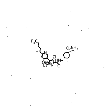 CCn1nc(C(=O)NC[C@H]2CC[C@H](S(C)(=O)=O)CC2)c(Cl)c1-c1cnc(NCCCC(F)(F)F)cc1OC